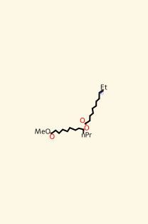 CC/C=C/CCCCCCCC(=O)OC(CCC)CCCCCCCC(=O)OC